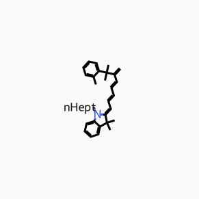 C=C(/C=C/C=C/C=C1\N(CCCCCCC)c2ccccc2C1(C)C)C(C)(C)c1ccccc1C